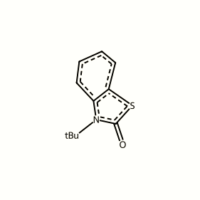 CC(C)(C)n1c(=O)sc2ccccc21